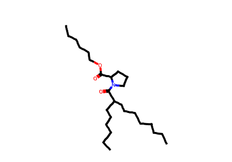 CCCCCCCCC(CCCCCC)C(=O)N1CCCC1C(=O)OCCCCCC